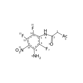 CC(=O)CC(=O)Nc1c(F)c(N)c([N+](=O)[O-])c(F)c1F